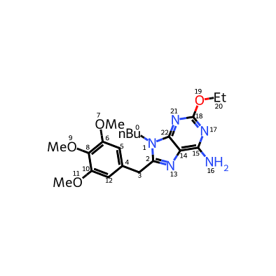 CCCCn1c(Cc2cc(OC)c(OC)c(OC)c2)nc2c(N)nc(OCC)nc21